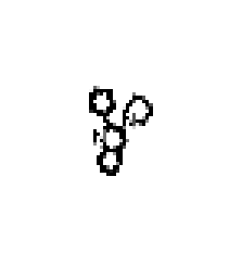 c1ccc(-c2nc3ccccc3cc2N2CCCCC2)cc1